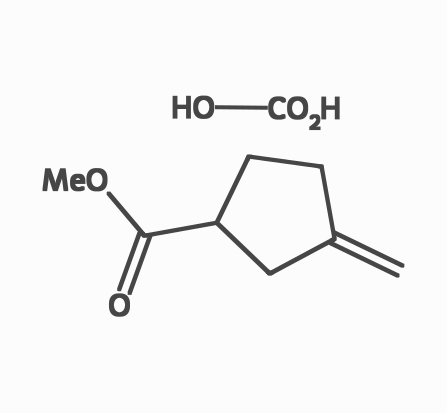 C=C1CCC(C(=O)OC)C1.O=C(O)O